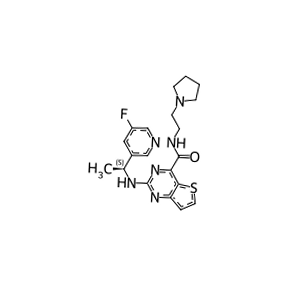 C[C@H](Nc1nc(C(=O)NCCN2CCCC2)c2sccc2n1)c1cncc(F)c1